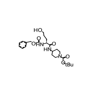 CC(C)(C)OC(=O)N1CCC(NC(=O)[C@H](CCCO)NC(=O)OCc2ccccc2)CC1